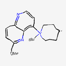 COc1ccc2nccc([N+]3(C(C)(C)C)CC[CH]CC3)c2n1